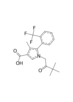 Cc1c(C(=O)O)cn(CC(=O)C(C)(C)C)c1-c1ccccc1C(F)(F)F